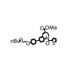 CCCCOCCOc1ccc(-c2ccc3c(c2)C=C(C(=O)OC)CCN3C(=O)c2cccs2)cc1